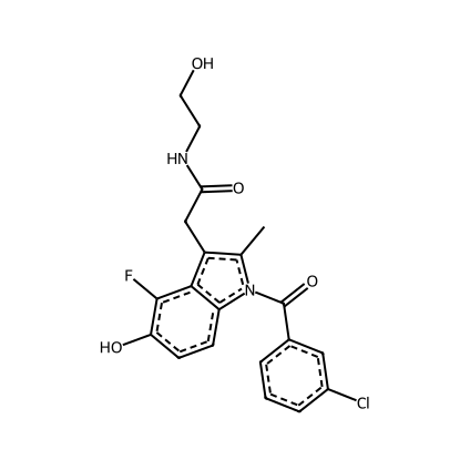 Cc1c(CC(=O)NCCO)c2c(F)c(O)ccc2n1C(=O)c1cccc(Cl)c1